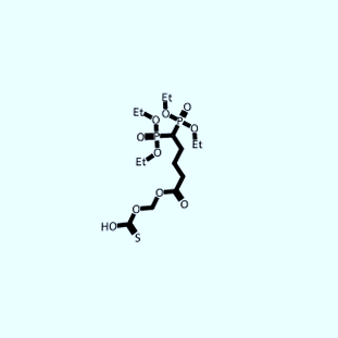 CCOP(=O)(OCC)C(CCCC(=O)OCOC(O)=S)P(=O)(OCC)OCC